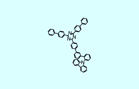 c1ccc(-c2ccc(-c3nc(-c4ccc(-c5ccccc5)cc4)nc(-c4ccc(-c5cccc(-c6ccccc6-n6c7ccccc7c7ccccc76)c5)cc4)n3)cc2)cc1